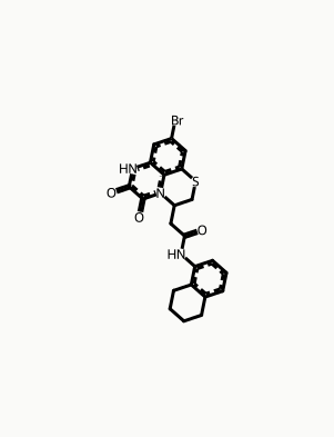 O=C(CC1CSc2cc(Br)cc3[nH]c(=O)c(=O)n1c23)Nc1cccc2c1CCCC2